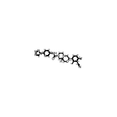 Cc1c([C@@H]2CN3CCN(C(=O)Nc4ccc(-n5cnnn5)nc4)C[C@@H]3CO2)ccc(F)c1C#N